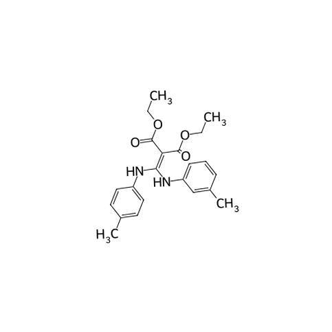 CCOC(=O)C(C(=O)OCC)=C(Nc1ccc(C)cc1)Nc1cccc(C)c1